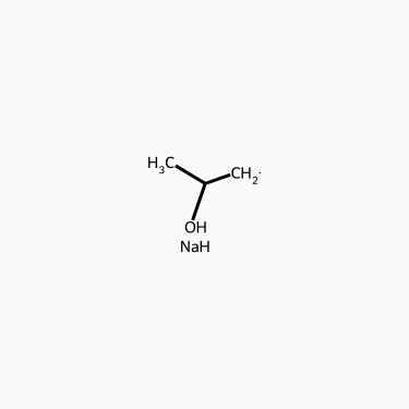 [CH2]C(C)O.[NaH]